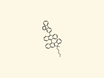 CCCCCC1(C)c2ccccc2-c2c1cc1ccccc1c2-c1c2ccccc2c(-c2ccc3c(c2)oc2ccccc23)c2ccccc12